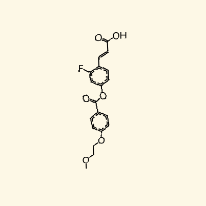 COCCOc1ccc(C(=O)Oc2ccc(/C=C/C(=O)O)c(F)c2)cc1